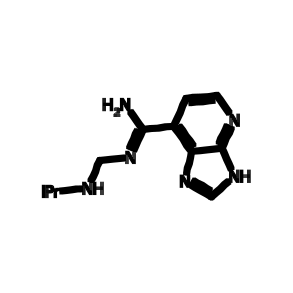 CC(C)NCN=C(N)c1ccnc2[nH]cnc12